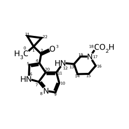 CC1(C(=O)c2c[nH]c3nccc(NC4CCCN(C(=O)O)C4)c23)CC1